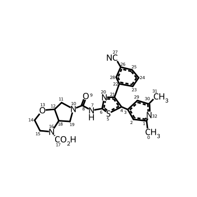 Cc1cc(-c2sc(NC(=O)N3CC4OCCN(C(=O)O)C4C3)nc2-c2cccc(C#N)c2)cc(C)n1